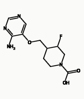 Nc1ncncc1OCC1CCN(C(=O)O)CC1F